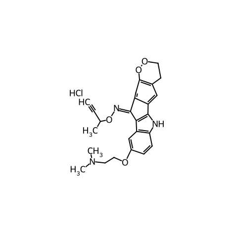 C#CC(C)O/N=C1/c2cc3c(cc2-c2[nH]c4ccc(OCCN(C)C)cc4c21)CCOO3.Cl